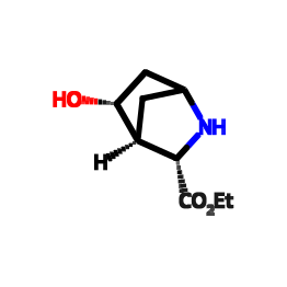 CCOC(=O)[C@H]1NC2C[C@@H]1[C@H](O)C2